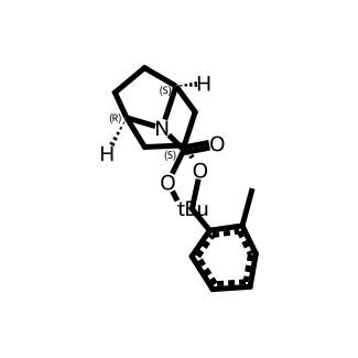 Cc1ccccc1CO[C@@H]1C[C@H]2CC[C@@H](C1)N2C(=O)OC(C)(C)C